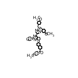 COc1ccc(CN(Cc2ccc(OC)cc2)c2ncc(-c3nc(N4CCOCC4)nc4c3CCN4c3ccc4cc(C(=O)N5CCN(C)CC5)ccc4c3)cn2)cc1